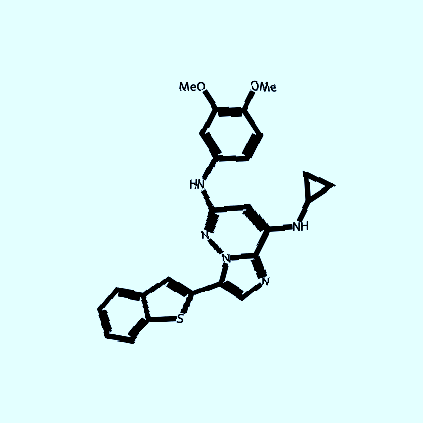 COc1ccc(Nc2cc(NC3CC3)c3ncc(-c4cc5ccccc5s4)n3n2)cc1OC